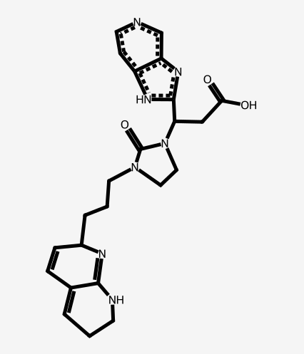 O=C(O)CC(c1nc2cnccc2[nH]1)N1CCN(CCCC2C=CC3=CCCNC3=N2)C1=O